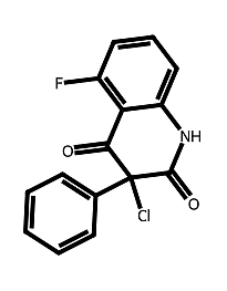 O=C1Nc2cccc(F)c2C(=O)C1(Cl)c1ccccc1